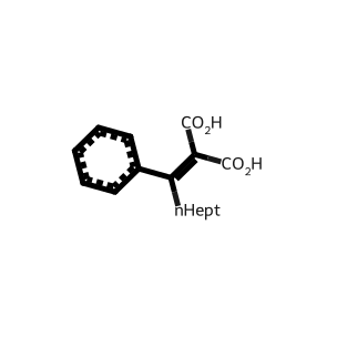 CCCCCCCC(=C(C(=O)O)C(=O)O)c1ccccc1